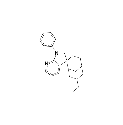 CCC1CC2CCC3(CN(c4ccccc4)c4ncccc43)C(C1)C2